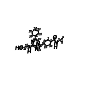 O=C(NC1CC1)c1ccc(-c2cnc3c(NCCO)nc(-c4ccccc4)cn23)cc1